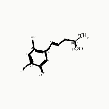 C[C@@H](O)CC=Cc1cc(F)c(F)cc1F